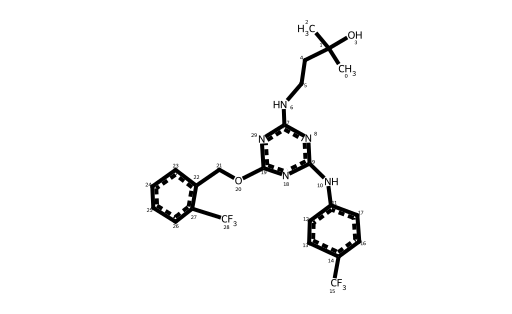 CC(C)(O)CCNc1nc(Nc2ccc(C(F)(F)F)cc2)nc(OCc2ccccc2C(F)(F)F)n1